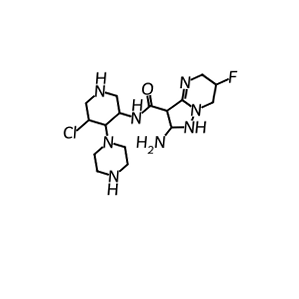 NC1NN2CC(F)CN=C2C1C(=O)NC1CNCC(Cl)C1N1CCNCC1